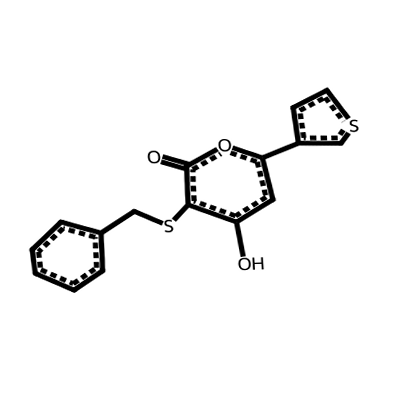 O=c1oc(-c2ccsc2)cc(O)c1SCc1ccccc1